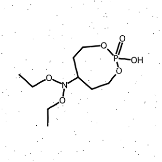 CCON(OCC)C1CCOP(=O)(O)OCC1